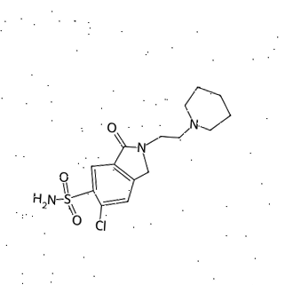 NS(=O)(=O)c1cc2c(cc1Cl)CN(CCN1CCCCC1)C2=O